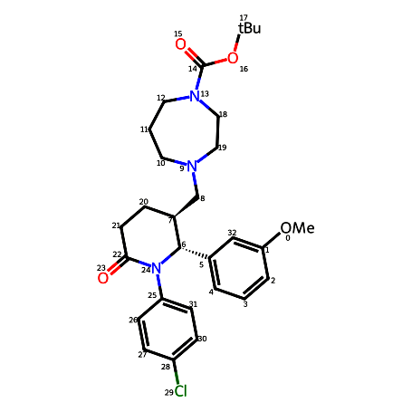 COc1cccc([C@H]2[C@H](CN3CCCN(C(=O)OC(C)(C)C)CC3)CCC(=O)N2c2ccc(Cl)cc2)c1